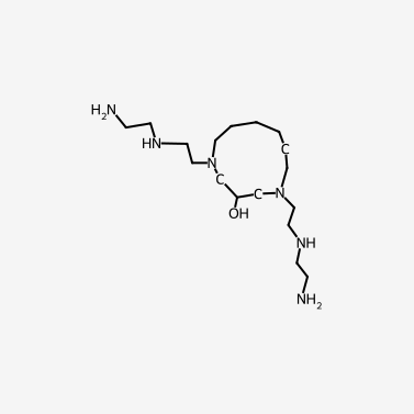 NCCNCCN1CCCCCCN(CCNCCN)CC(O)C1